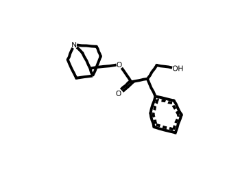 O=C(OC1CN2CCC1CC2)C(CO)c1ccccc1